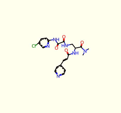 CN(C)C(=O)C(CNC(=O)C(=O)Nc1ccc(Cl)cn1)NC(=O)/C=C/c1ccncc1